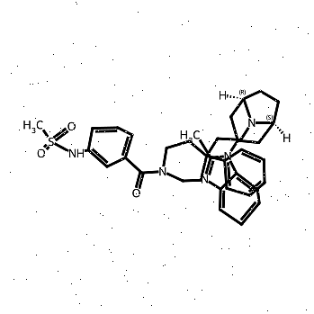 Cc1nc2ccccc2n1C1C[C@H]2CC[C@@H](C1)N2CCC1(c2ccccc2)CCN(C(=O)c2cccc(NS(C)(=O)=O)c2)CC1